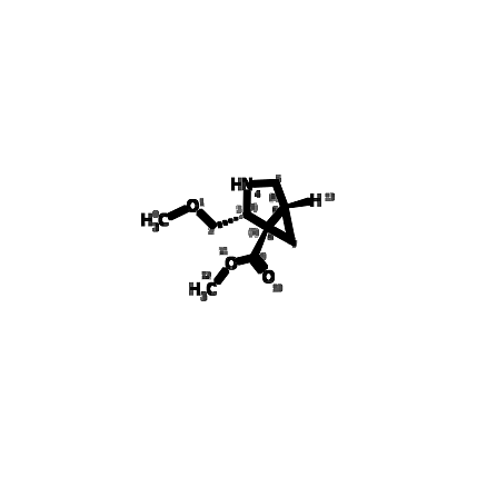 COC[C@@H]1NC[C@@H]2C[C@@]21C(=O)OC